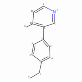 CCc1ccc(-c2cnccc2C)cc1